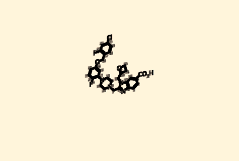 O=C(O)c1ccc2nc(CN3CCN(c4cc(OCc5ccc(Cl)cc5F)ccc4F)CC3)n(CC3CCO3)c2c1